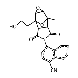 CC12OC(CCO)(C3OC31)C1C(=O)N(c3ccc(C#N)c4ccccc34)C(=O)C12